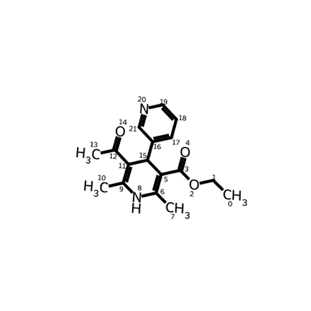 CCOC(=O)C1=C(C)NC(C)=C(C(C)=O)C1c1cccnc1